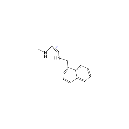 CN/C=C\NCc1cccc2ccccc12